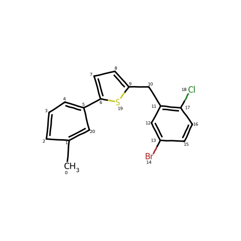 Cc1cccc(-c2ccc(Cc3cc(Br)ccc3Cl)s2)c1